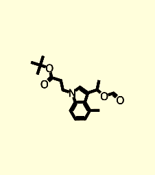 Cc1cccc2c1c(C(C)OC=O)cn2CCC(=O)OC(C)(C)C